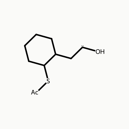 CC(=O)SC1CCCCC1C[C]O